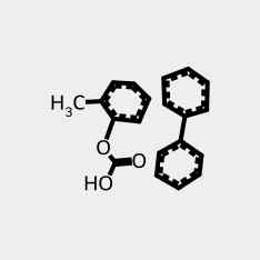 Cc1ccccc1OC(=O)O.c1ccc(-c2ccccc2)cc1